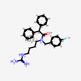 N=C(N)NCCC[C@H](C(=O)O)N(Cc1ccc(F)cc1)C(=O)C(c1ccccc1)c1ccccc1